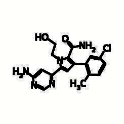 Cc1ccc(Cl)cc1-c1cc(-c2cc(N)ncn2)n(CCO)c1C(N)=O